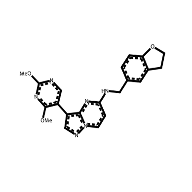 COc1ncc(-c2cnn3ccc(NCc4ccc5c(c4)CCO5)nc23)c(OC)n1